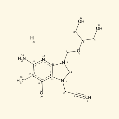 C#CCN1CN(COC(CO)CO)c2nc(N)n(C)c(=O)c21.I